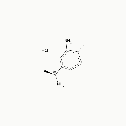 Cc1ccc([C@H](C)N)cc1N.Cl